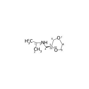 CC(C)NC[C@H]1COCCO1